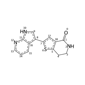 O=C1NCCc2sc(-c3c[nH]c4ncccc34)cc21